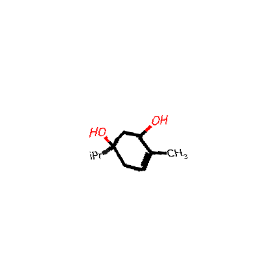 CC1=CCC(O)(C(C)C)CC1O